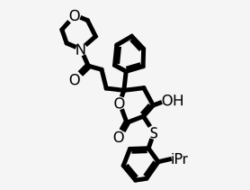 CC(C)c1ccccc1SC1=C(O)CC(CCC(=O)N2CCOCC2)(c2ccccc2)OC1=O